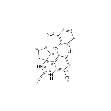 N#Cc1cccc(Cl)c1Oc1ccc(Cl)c2c1C1(CCCC1)NC(=O)N2